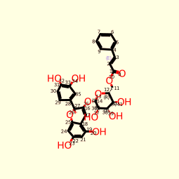 O=C(/C=C/c1ccccc1)OC[C@H]1O[C@@H](Oc2cc3c(O)cc(O)cc3[o+]c2-c2ccc(O)c(O)c2)[C@H](O)[C@@H](O)[C@@H]1O